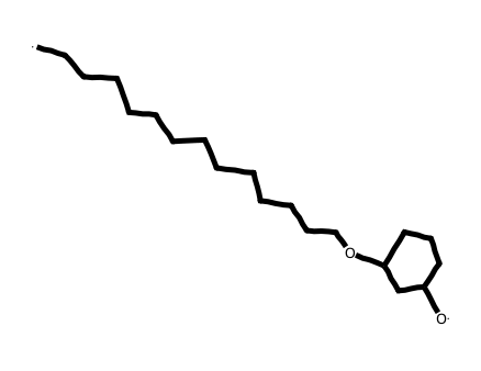 [CH2]CCCCCCCCCCCCCOC1CCCC([O])C1